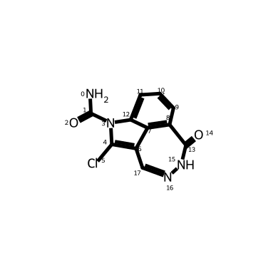 NC(=O)n1c(Cl)c2c3c(c[c]cc31)C(=O)NN=C2